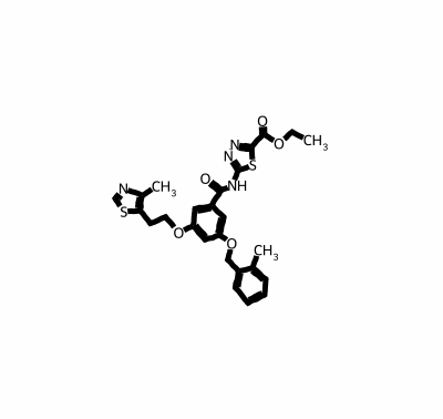 CCOC(=O)c1nnc(NC(=O)c2cc(OCCc3scnc3C)cc(OCc3ccccc3C)c2)s1